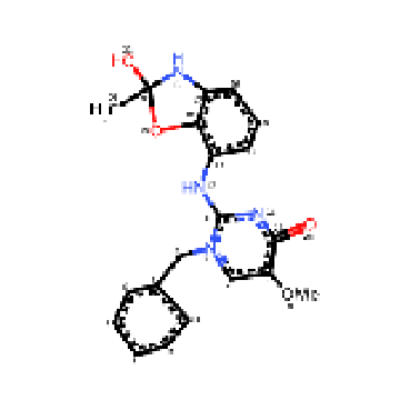 COc1cn(Cc2ccccc2)c(Nc2cccc3c2OC(C)(O)N3)nc1=O